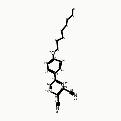 CCCCCCCCOc1ccc(-c2cnc(C#N)c(C#N)n2)cc1